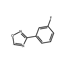 Fc1cccc(-c2n[c]on2)c1